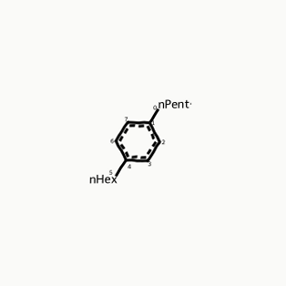 CCCC[CH]c1ccc(CCCCCC)cc1